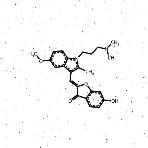 COc1ccc2c(c1)c(/C=C1\Oc3cc(O)ccc3C1=O)c(C)n2CCCN(C)C